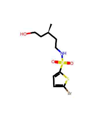 C[C@H](CCO)CCNS(=O)(=O)c1ccc(Br)s1